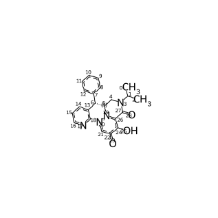 CC(C)N1C[C@@H](C(c2ccccc2)c2cccnc2)n2ncc(=O)c(O)c2C1=O